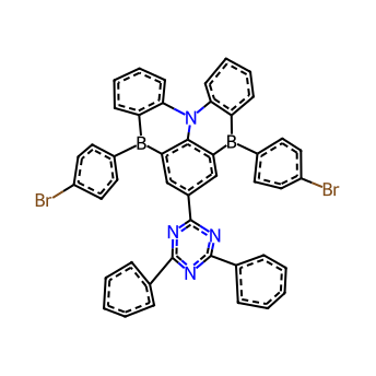 Brc1ccc(B2c3ccccc3N3c4ccccc4B(c4ccc(Br)cc4)c4cc(-c5nc(-c6ccccc6)nc(-c6ccccc6)n5)cc2c43)cc1